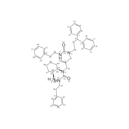 C=C(CN(CCC(c1ccccc1)c1ccccc1)C(=O)NCCc1ccccc1)CN(C(=O)NCCc1ccccc1)[C@@H]1CCCC[C@@H]1N